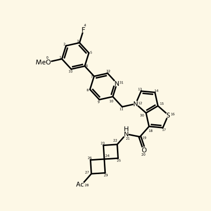 COc1cc(F)cc(-c2ccc(Cn3ccc4scc(C(=O)NC5CC6(C5)CC(C(C)=O)C6)c43)nc2)c1